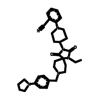 CCN1C(=O)N(C2CCN(c3ccccc3C#N)CC2)C(=O)C12CCN(Cc1ccc(N3CCCC3)cc1)CC2